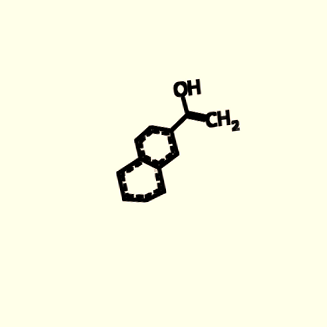 C=C(O)c1ccc2ccccc2c1